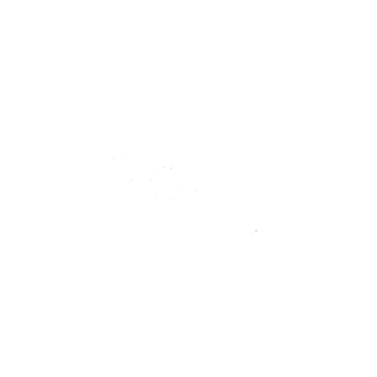 C[Si](C)(Cl)CCCOc1ccc(C(=O)c2ccccc2)cc1